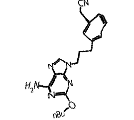 CCCCOc1nc(N)c2ncn(CCCc3cccc(CC#N)c3)c2n1